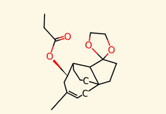 CCC(=O)O[C@@H]1C/C(C)=C\CC23CCCC1C2C1(CC3)OCCO1